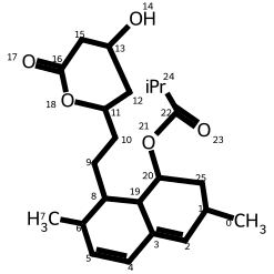 CC1C=C2C=CC(C)C(CCC3CC(O)CC(=O)O3)C2C(OC(=O)C(C)C)C1